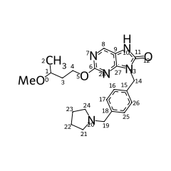 COC(C)CCOc1ncc2[nH]c(=O)n(Cc3ccc(CN4CCCC4)cc3)c2n1